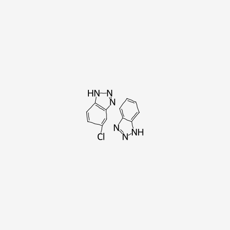 Clc1ccc2[nH]nnc2c1.c1ccc2[nH]nnc2c1